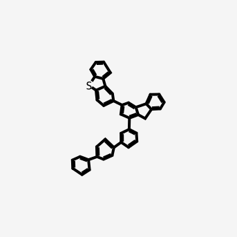 c1ccc(-c2ccc(-c3cccc(-c4cc(-c5ccc6sc7ccccc7c6c5)cc5c4Cc4ccccc4-5)c3)cc2)cc1